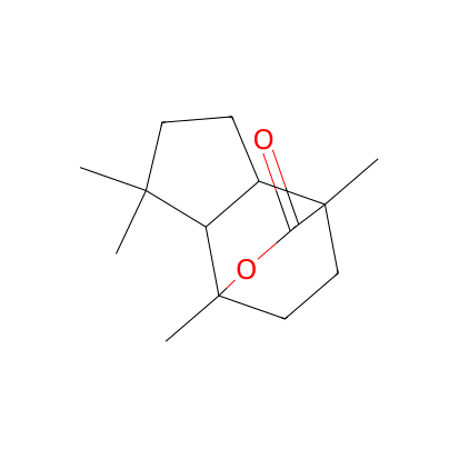 CC1(C)CCC2C1C1(C)CCC2(C)C(=O)O1